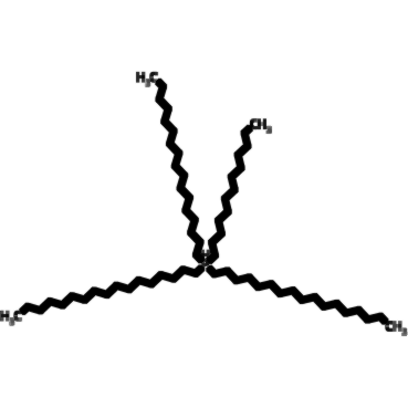 CCCCCCCCCCCCCCCCC[PH](CCCCCCCCCCCCC)(CCCCCCCCCCCCCCCCC)CCCCCCCCCCCCCCCCC